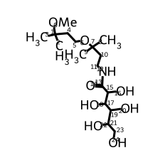 COC(C)(C)CCOC(C)(C)CCNC(=O)C(O)C(O)C(O)C(O)CO